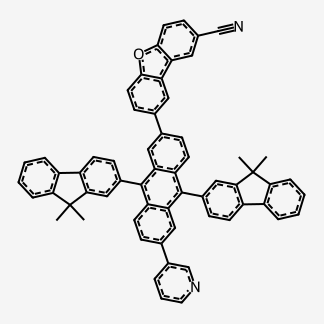 CC1(C)c2ccccc2-c2ccc(-c3c4ccc(-c5ccc6oc7ccc(C#N)cc7c6c5)cc4c(-c4ccc5c(c4)C(C)(C)c4ccccc4-5)c4ccc(-c5cccnc5)cc34)cc21